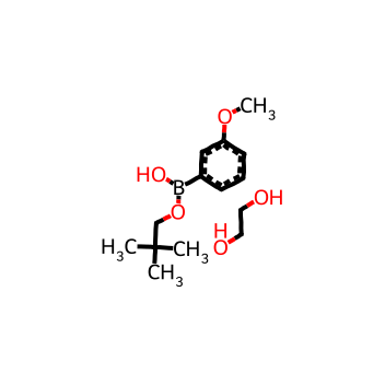 COc1cccc(B(O)OCC(C)(C)C)c1.OCCO